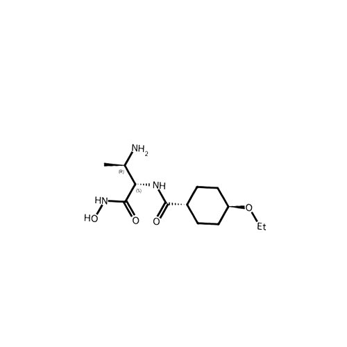 CCO[C@H]1CC[C@H](C(=O)N[C@H](C(=O)NO)[C@@H](C)N)CC1